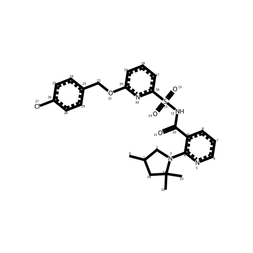 CC1CN(c2ncccc2C(=O)NS(=O)(=O)c2cccc(OCc3ccc(Cl)cc3)n2)C(C)(C)C1